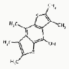 Cc1sc2c(O)c3c(C)c(C)sc3c(C)c2c1C